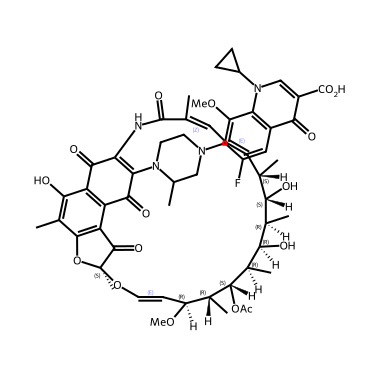 COc1c(N2CCN(C3=C4NC(=O)/C(C)=C\C=C\[C@H](C)[C@H](O)[C@@H](C)[C@@H](O)[C@@H](C)[C@H](OC(C)=O)[C@H](C)[C@@H](OC)/C=C/O[C@@]5(C)Oc6c(C)c(O)c(c(c6C5=O)C3=O)C4=O)C(C)C2)c(F)cc2c(=O)c(C(=O)O)cn(C3CC3)c12